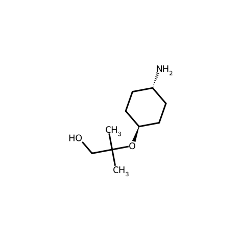 CC(C)(CO)O[C@H]1CC[C@H](N)CC1